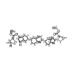 CC(C)(C)OC(=O)N1C2CC2C[C@H]1c1nc2ccc(-c3cnc4cc(-c5ccc6nc([C@@H]7C[C@H]8CC8N7C(=O)OC(C)(C)C)[nH]c6c5)ccc4n3)cc2[nH]1